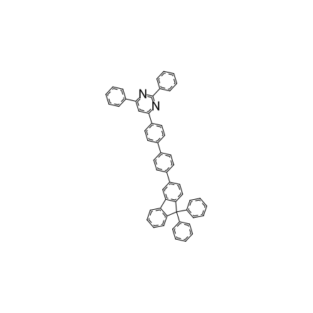 c1ccc(-c2cc(-c3ccc(-c4ccc(-c5ccc6c(c5)-c5ccccc5C6(c5ccccc5)c5ccccc5)cc4)cc3)nc(-c3ccccc3)n2)cc1